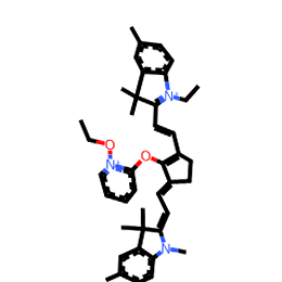 CCO[n+]1ccccc1OC1=C(/C=C/C2=[N+](CC)c3ccc(C)cc3C2(C)C)CC/C1=C\C=C1\N(C)c2ccc(C)cc2C1(C)C